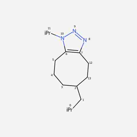 CC(C)CC1CCCc2c(nnn2C(C)C)CC1